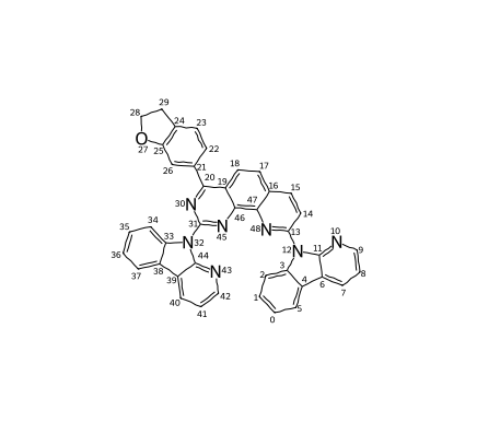 c1ccc2c(c1)c1cccnc1n2-c1ccc2ccc3c(-c4ccc5c(c4)OCC5)nc(-n4c5ccccc5c5cccnc54)nc3c2n1